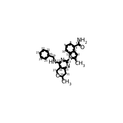 Cc1cc2c(C(N)=O)cccc2n1-c1nc2c(c(NCc3ccccc3)n1)COC(C)C2